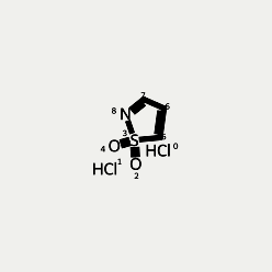 Cl.Cl.O=S1(=O)C=CC=N1